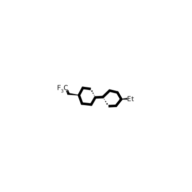 CC[C@H]1CC[C@H]([C@H]2CC[C@H](CC(F)(F)F)CC2)CC1